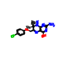 CCC1(CC)Nc2nc(N)nc(O)c2N=C1COc1ccc(Cl)cc1